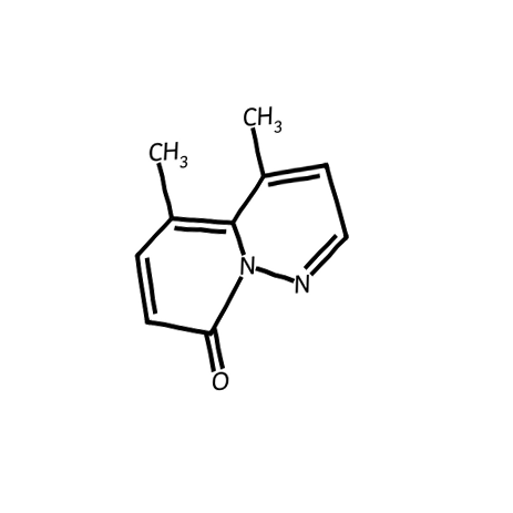 Cc1ccnn2c(=O)ccc(C)c12